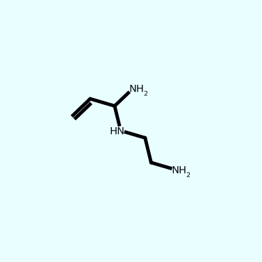 C=CC(N)NCCN